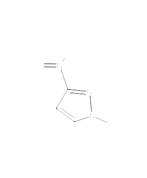 O=[N+]([O-])c1ccn(I)n1